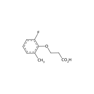 Cc1cccc(F)c1OCCC(=O)O